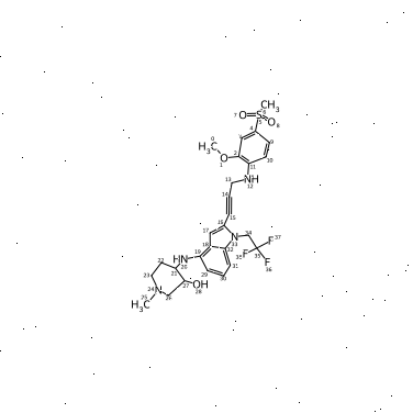 COc1cc(S(C)(=O)=O)ccc1NCC#Cc1cc2c(NC3CCN(C)CC3O)cccc2n1CC(F)(F)F